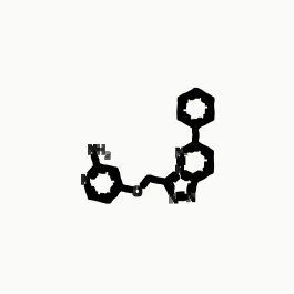 Nc1cc(OCc2nnc3ccc(-c4ccccc4)nn23)ccn1